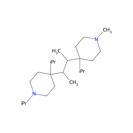 CC(C)N1CCC(C(C)C)(C(C)C(C)C2(C(C)C)CCN(C)CC2)CC1